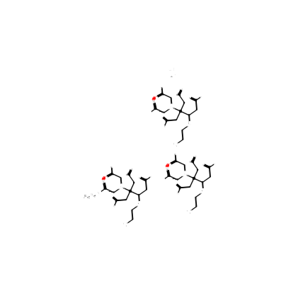 NCCNC(CC(=O)[O-])C(CC(=O)[O-])(CC(=O)[O-])N(CC(=O)[O-])CC(=O)[O-].NCCNC(CC(=O)[O-])C(CC(=O)[O-])(CC(=O)[O-])N(CC(=O)[O-])CC(=O)[O-].NCCNC(CC(=O)[O-])C(CC(=O)[O-])(CC(=O)[O-])N(CC(=O)[O-])CC(=O)[O-].[Fe+3].[Fe+3].[Fe+3].[Fe+3].[Fe+3]